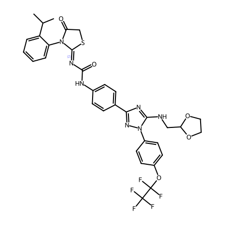 CC(C)c1ccccc1N1C(=O)CS/C1=N\C(=O)Nc1ccc(-c2nc(NCC3OCCO3)n(-c3ccc(OC(F)(F)C(F)(F)F)cc3)n2)cc1